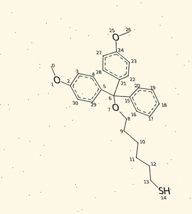 COc1ccc(C(OCCCCCCS)(c2ccccc2)c2ccc(OC)cc2)cc1